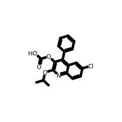 CC(C)Oc1nc2ccc(Cl)cc2c(-c2ccccc2)c1OC(=O)O